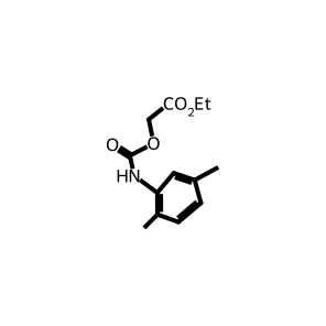 CCOC(=O)COC(=O)Nc1cc(C)ccc1C